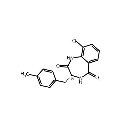 Cc1ccc(C[C@H]2NC(=O)c3cccc(Cl)c3NC2=O)cc1